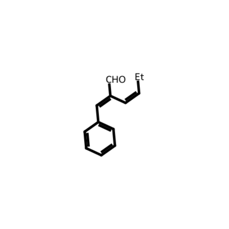 CC/C=C\C(C=O)=Cc1ccccc1